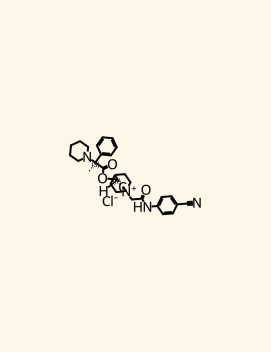 C[C@@](C(=O)O[C@H]1C[N+]2(CC(=O)Nc3ccc(C#N)cc3)CCC1CC2)(c1ccccc1)N1CCCCC1.[Cl-]